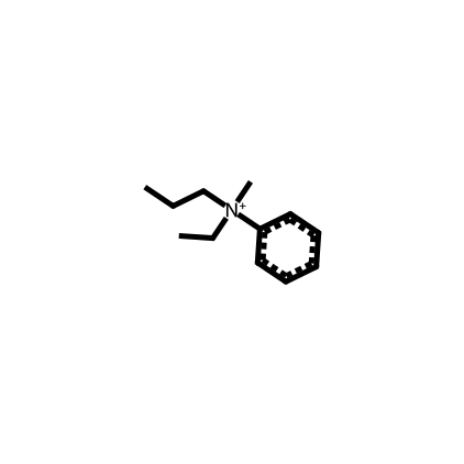 CCC[N+](C)(CC)c1ccccc1